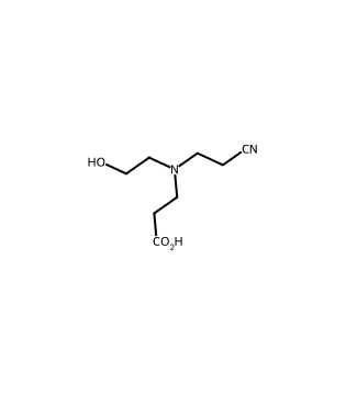 N#CCCN(CCO)CCC(=O)O